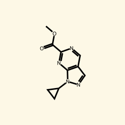 COC(=O)c1ncc2cnn(C3CC3)c2n1